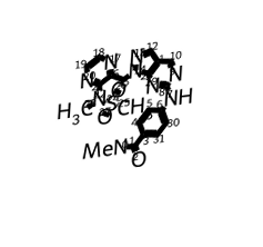 CNC(=O)c1ccc(Nc2ncc3cnn(Cc4nccnc4N(C)S(C)(=O)=O)c3n2)cc1